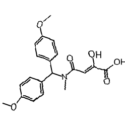 COc1ccc(C(c2ccc(OC)cc2)N(C)C(=O)C=C(O)C(=O)O)cc1